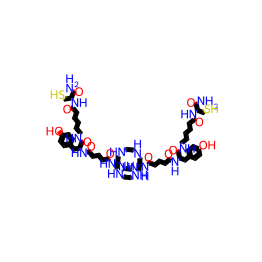 NC(=O)C(CS)NC(=O)CCCCCNC(=O)C(Cc1ccc(O)cc1)NC(=O)CCCC(=O)N[C@]12CNCCNC[C@](NC(=O)CCCC(=O)NC(Cc3ccc(O)cc3)C(=O)NCCCCCC(=O)NC(CS)C(N)=O)(CNCCNC1)NCCN2